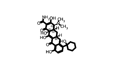 CN(C)[C@@H]1C(O)=C(C(N)=O)C(=O)[C@@]2(O)C(O)=C3C(=O)c4c(O)ccc(C5(O)CCCCC5)c4C[C@H]3C[C@@H]12